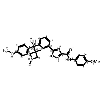 COc1ccc(NC(=O)c2noc(-c3cccc([C@@](O)(c4ccc(OC(F)(F)F)cc4)C4(C)CN(C)C4)c3)n2)cc1